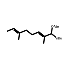 C/C=C(\C)CC/C=C(\C)C(CCCC)OC